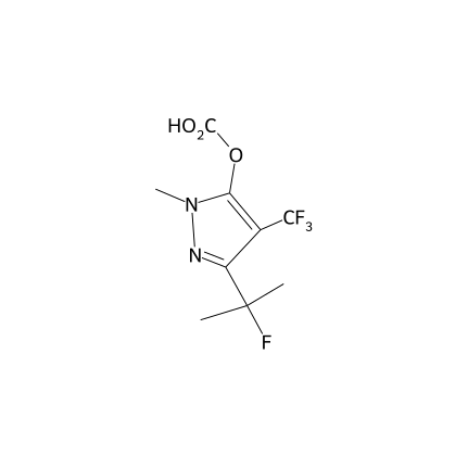 Cn1nc(C(C)(C)F)c(C(F)(F)F)c1OC(=O)O